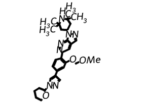 COCOc1cc(-c2cnn(C3CCCCO3)c2)ccc1-c1cc2cnn(C3CC(C)(C)NC(C)(C)C3)c2nn1